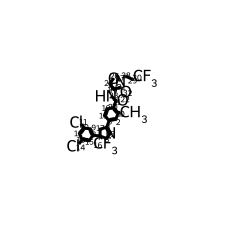 Cc1cc(C2=NCC(c3cc(Cl)cc(Cl)c3)(C(F)(F)F)C2)ccc1C(=O)N[C@@H]1CON(CCC(F)(F)F)C1=O